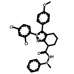 COc1ccc(-c2c3c(nn2-c2ccc(Cl)cc2Cl)C(C(=O)NN(C)c2ccccc2)CCC3)cc1